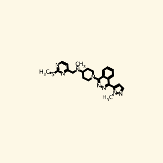 CSc1nccc(CN(C)C2CCN(c3nnc(-c4ccnn4C)c4ccccc34)CC2)n1